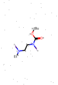 CCN(I)CCN(I)C(=O)OC(C)(C)C